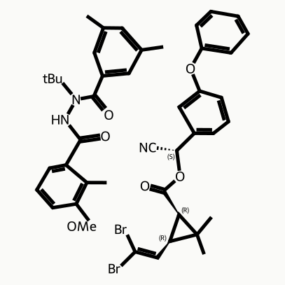 CC1(C)[C@H](C(=O)O[C@H](C#N)c2cccc(Oc3ccccc3)c2)[C@@H]1C=C(Br)Br.COc1cccc(C(=O)NN(C(=O)c2cc(C)cc(C)c2)C(C)(C)C)c1C